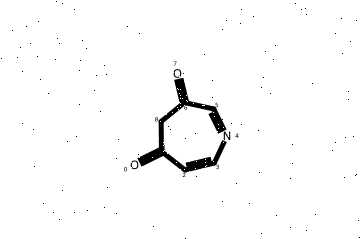 O=C1C=CN=CC(=O)C1